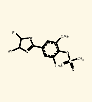 COc1cc(C2=NC(C(C)C)C(C(C)C)N2)cc(OC)c1OS(C)(=O)=O